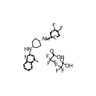 Cc1cc(N[C@H]2CC[C@@H](NCc3ccc(F)c(F)c3)CC2)nc2ccccc12.O=C(O)C(F)(F)F.O=C(O)C(F)(F)F